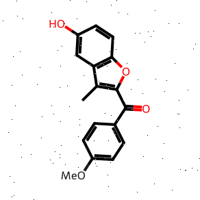 COc1ccc(C(=O)c2oc3ccc(O)cc3c2C)cc1